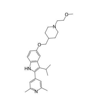 COCCN1CCC(COc2ccc3[nH]c(-c4cc(C)nc(C)c4)c(C(C)C)c3c2)CC1